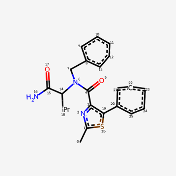 Cc1nc(C(=O)N(Cc2ccccc2)C(C(N)=O)C(C)C)c(-c2ccccc2)s1